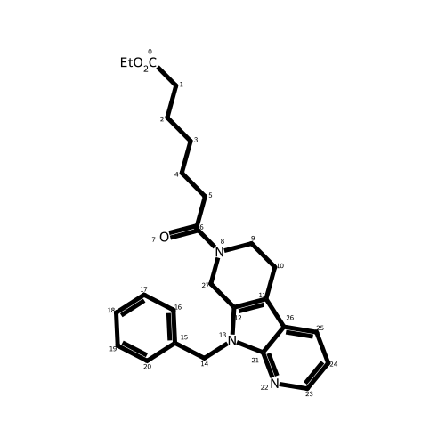 CCOC(=O)CCCCCC(=O)N1CCc2c(n(Cc3ccccc3)c3ncccc23)C1